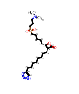 CN(C)CCCS(=O)(=O)CCCCC[C@@H]1OC(=O)[C@H]1CCCCCCCCc1c[nH]nn1